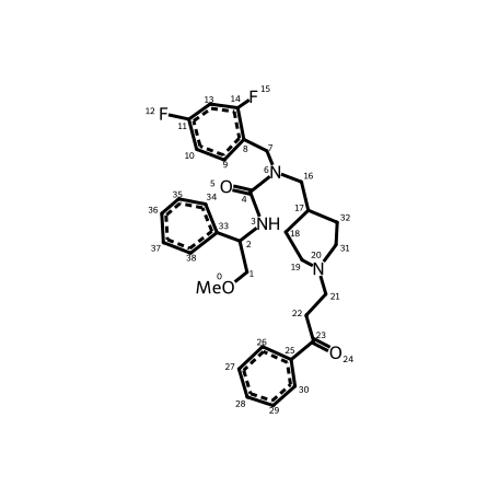 COCC(NC(=O)N(Cc1ccc(F)cc1F)CC1CCN(CCC(=O)c2ccccc2)CC1)c1ccccc1